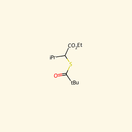 CCOC(=O)C(SC(=O)C(C)(C)C)C(C)C